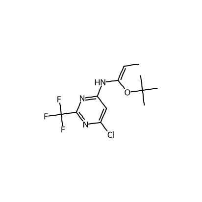 CC=C(Nc1cc(Cl)nc(C(F)(F)F)n1)OC(C)(C)C